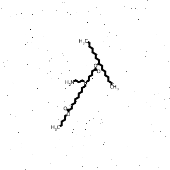 CCCCCCCCC(CCCCCCCC)OC(=O)CCCCN(CCCN)CCCCCCCCCC(=O)OCCCCC